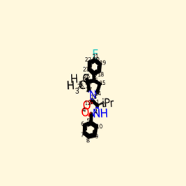 CC(C)[C@@H](NC(=O)c1ccccc1)C(=O)N1CCC(c2ccc(F)cc2)C(C)(C)C1